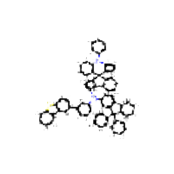 c1ccc(N2c3ccccc3C3(c4ccccc4-c4c(N(c5cccc(-c6ccc7sc8ccccc8c7c6)c5)c5ccc6c(c5)C(c5ccccc5)(c5ccccc5)c5ccccc5-6)cccc43)c3ccccc32)cc1